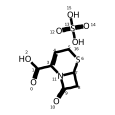 O=C(O)C1=CCSC2CC(=O)N12.O=S(=O)(O)O